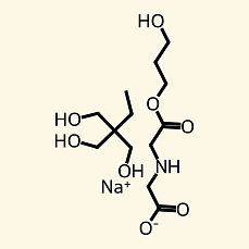 CCC(CO)(CO)CO.O=C([O-])CNCC(=O)OCCCO.[Na+]